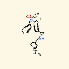 O=C(N(Cc1ccccc1)c1ccc(C2CC2NCc2ccc(C(F)(F)F)cc2)cc1)C(F)(F)F